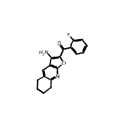 Nc1c(C(=O)c2ccccc2F)oc2nc3c(cc12)CCCC3